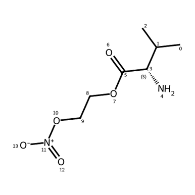 CC(C)[C@H](N)C(=O)OCCO[N+](=O)[O-]